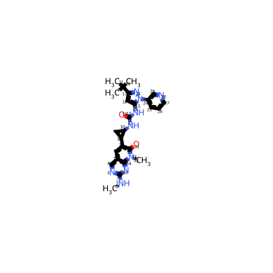 CNc1ncc2cc(C3CC3NC(=O)Nc3cc(C(C)(C)C)nn3-c3cccnc3)c(=O)n(C)c2n1